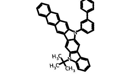 CC(C)(C)n1c2ccccc2c2cc3c(cc21)c1cc2cc4ccccc4cc2cc1n3-c1cccc(-c2ccccc2)c1